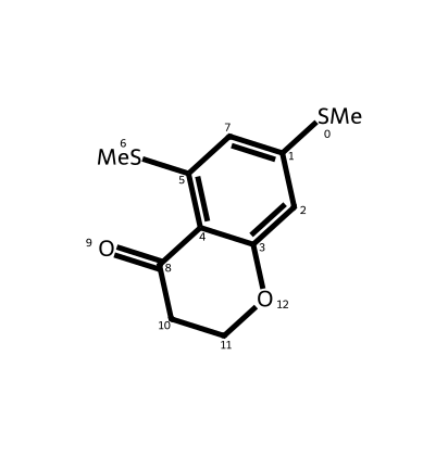 CSc1cc2c(c(SC)c1)C(=O)CCO2